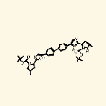 C[C@@H]1CC(c2ncc(-c3ccc(-c4ccc(-c5cnc(C6CC7C[C@@H]7N6C(=O)OC(C)(C)C)[nH]5)cc4)cc3)[nH]2)N(C(=O)OC(C)(C)C)C1